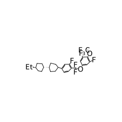 CC[C@H]1CC[C@H](C2CCC(c3ccc(C(F)(F)Oc4cc(F)c(OC(F)(F)F)c(F)c4)c(F)c3)CC2)CC1